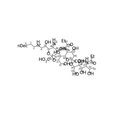 CCCCCCCCCCCCNCC(O)C1OC(OC(CO)C(O)C2OC(OC(CO)C(O)C(O)C(NC(=O)CC)C(C)O)(C(=O)O)CC(O)C2NC(=O)CC)(C(=O)O)CC(O)C1N